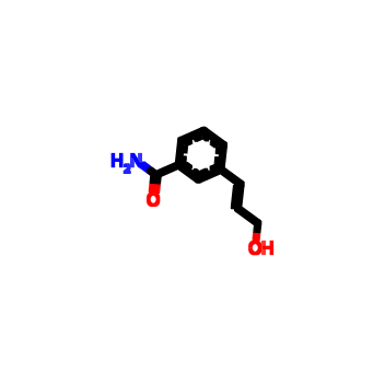 NC(=O)c1cccc(C=CCO)c1